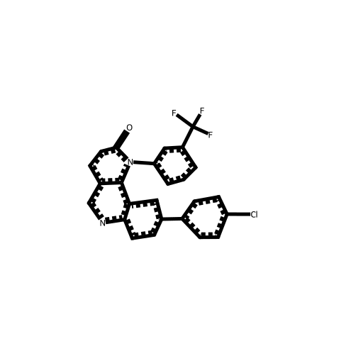 O=c1ccc2cnc3ccc(-c4ccc(Cl)cc4)cc3c2n1-c1cccc(C(F)(F)F)c1